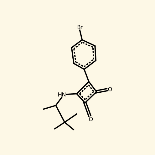 CC(Nc1c(-c2ccc(Br)cc2)c(=O)c1=O)C(C)(C)C